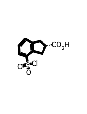 O=C(O)[C@H]1Cc2cccc(S(=O)(=O)Cl)c2C1